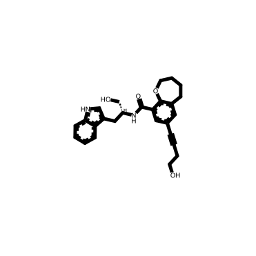 O=C(N[C@@H](CO)Cc1c[nH]c2ccccc12)c1cc(C#CCCO)cc2c1OCCCC2